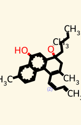 C=C/C=C\C1=C(C)CC(CCCC)(OC)c2cc(O)c3cc(C)ccc3c21